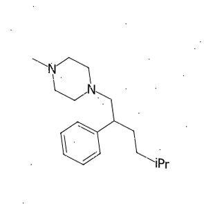 CC(C)CCC(CN1CCN(C)CC1)c1ccccc1